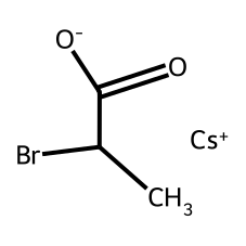 CC(Br)C(=O)[O-].[Cs+]